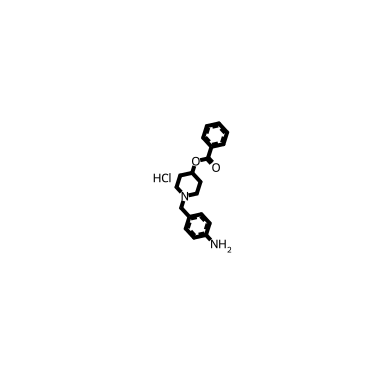 Cl.Nc1ccc(CN2CCC(OC(=O)c3ccccc3)CC2)cc1